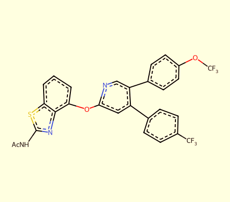 CC(=O)Nc1nc2c(Oc3cc(-c4ccc(C(F)(F)F)cc4)c(-c4ccc(OC(F)(F)F)cc4)cn3)cccc2s1